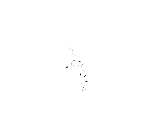 C#Cc1cc(NCCC(F)(F)F)c2ncc(-c3ccc(C(=O)N[C@@H]4C[C@H]4F)c(C)c3)n2c1